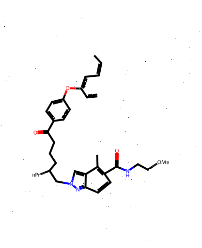 C=C/C(=C\C=C/C)Oc1ccc(C(=O)CCCC(CCC)Cn2cc3c(C)c(C(=O)NCCOC)ccc3n2)cc1